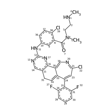 CNCCN(C)C(=O)c1cc(Nc2ncc3c(n2)C2=CN=C(Cl)C=C(c4c(F)cccc4F)C2=CC3)ccc1Cl